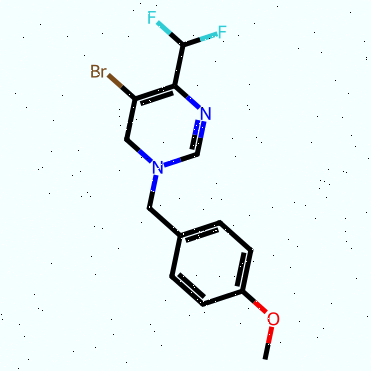 COc1ccc(CN2C=NC(C(F)F)=C(Br)C2)cc1